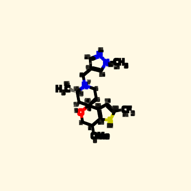 COC1CO[C@@]2(CCN(Cc3cnn(C)c3)[C@@H](C)C2)c2cc(C(F)(F)F)sc21